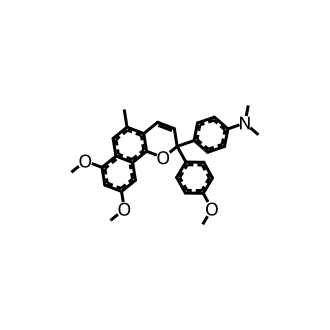 COc1ccc(C2(c3ccc(N(C)C)cc3)C=Cc3c(C)cc4c(OC)cc(OC)cc4c3O2)cc1